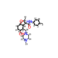 Cc1ccc(NC(=O)c2c(C)oc3ccc(O)c(CN4CCN(C)CC4)c23)cc1